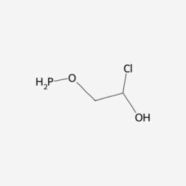 OC(Cl)COP